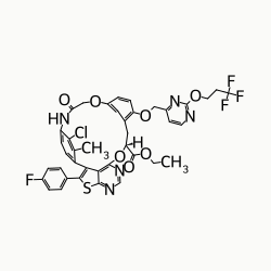 CCOC(=O)[C@H]1Cc2cc(ccc2OCc2ccnc(OCCC(F)(F)F)n2)OCC(=O)Nc2ccc(c(C)c2Cl)-c2c(-c3ccc(F)cc3)sc3ncnc(c23)O1